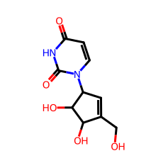 O=c1ccn(C2C=C(CO)C(O)C2O)c(=O)[nH]1